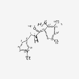 CC[n+]1cccc(CNC(=O)c2cc(Cl)cc(C(F)(F)F)c2N)c1.[I-]